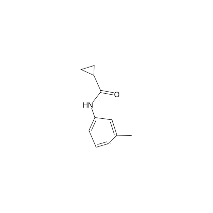 Cc1[c]ccc(NC(=O)C2CC2)c1